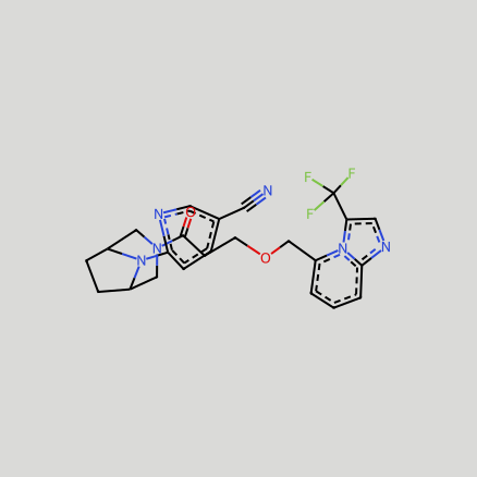 N#Cc1ccc(N2C3CCC2CN(C(=O)CCOCc2cccc4ncc(C(F)(F)F)n24)C3)nc1